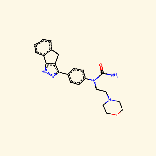 NC(=O)N(CCN1CCOCC1)c1ccc(-c2n[nH]c3c2Cc2ccccc2-3)cc1